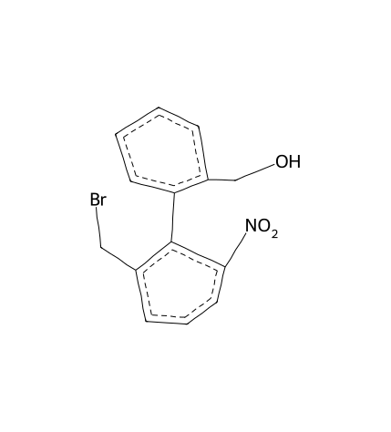 O=[N+]([O-])c1cccc(CBr)c1-c1ccccc1CO